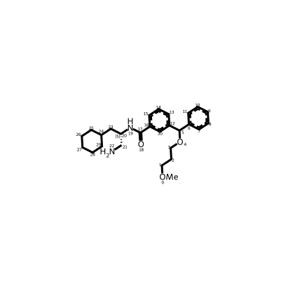 COCCCOC(c1ccccc1)c1cccc(C(=O)N[C@H](CN)CC2CCCCC2)c1